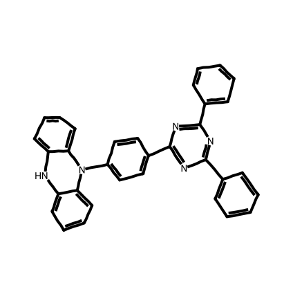 c1ccc(-c2nc(-c3ccccc3)nc(-c3ccc(N4c5ccccc5Nc5ccccc54)cc3)n2)cc1